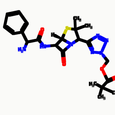 CC(C)(C)C(=O)OCn1nnc(C2N3C(=O)C(NC(=O)C(N)c4ccccc4)[C@@H]3SC2(C)C)n1